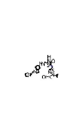 O=CN(c1ncc(/C=c2\sc(=CN=Nc3ccc4c(ccn4CCN4CCCC4)c3)[nH]c2=O)s1)C1CC1